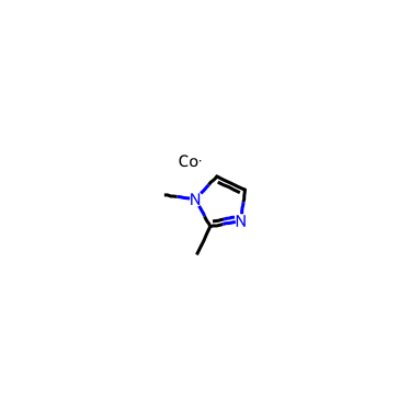 Cc1nccn1C.[Co]